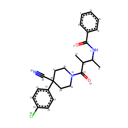 CC(NC(=O)c1ccccc1)C(C)C(=O)N1CCC(C#N)(c2ccc(Cl)cc2)CC1